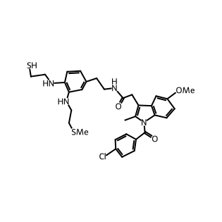 COc1ccc2c(c1)c(CC(=O)NCCc1ccc(NCCS)c(NCCSC)c1)c(C)n2C(=O)c1ccc(Cl)cc1